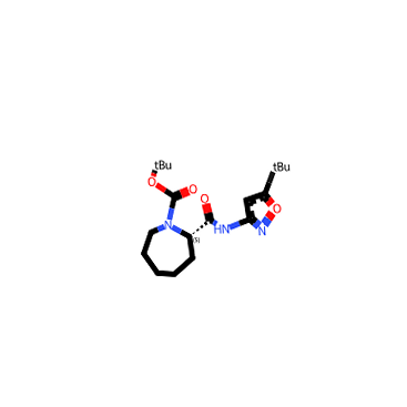 CC(C)(C)OC(=O)N1CCCCC[C@H]1C(=O)Nc1cc(C(C)(C)C)on1